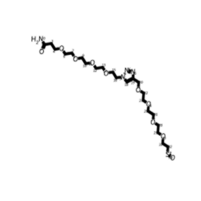 NC(=O)CCOCCOCCOCCOCCn1cc(COCCOCCOCCOCC[S+]=O)nn1